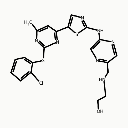 Cc1cc(-c2cnc(Nc3cnc(CNCCO)cn3)s2)nc(Sc2ccccc2Cl)n1